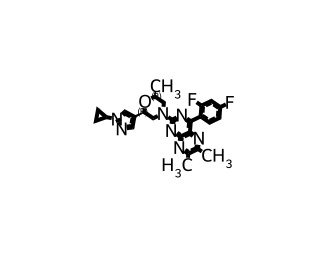 Cc1nc2nc(N3C[C@@H](C)O[C@H](c4cnn(C5CC5)c4)C3)nc(-c3ccc(F)cc3F)c2nc1C